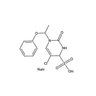 CC(Oc1ccccc1)N1C=C(Cl)C(S(=O)(=O)O)NC1=O.[NaH]